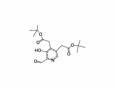 CC(C)(C)OC(=O)Cc1cnc(C=O)c(O)c1CC(=O)OC(C)(C)C